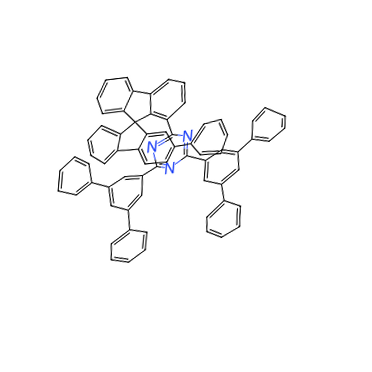 c1ccc(-c2cc(-c3ccccc3)cc(-c3nc(-c4cc(-c5ccccc5)cc(-c5ccccc5)c4)nc(-c4cccc5c4C4(c6ccccc6-c6ccc(-c7ccccc7)cc64)c4ccccc4-5)n3)c2)cc1